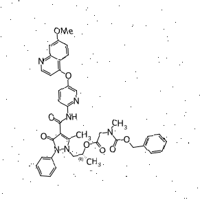 COc1ccc2c(Oc3ccc(NC(=O)c4c(C)n(C[C@@H](C)OC(=O)CN(C)C(=O)OCc5ccccc5)n(-c5ccccc5)c4=O)nc3)ccnc2c1